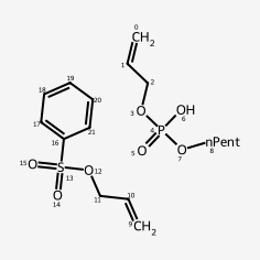 C=CCOP(=O)(O)OCCCCC.C=CCOS(=O)(=O)c1ccccc1